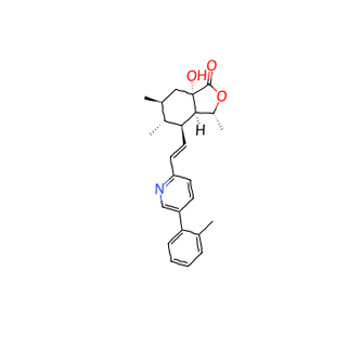 Cc1ccccc1-c1ccc(/C=C/[C@H]2[C@H](C)[C@@H](C)C[C@@]3(O)C(=O)O[C@H](C)[C@@H]23)nc1